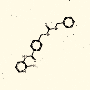 Nc1ncccc1NC(=O)c1ccc(CNC(=O)NCc2ccccc2)cc1